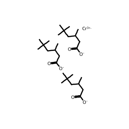 CC(CC(=O)[O-])CC(C)(C)C.CC(CC(=O)[O-])CC(C)(C)C.CC(CC(=O)[O-])CC(C)(C)C.[Cr+3]